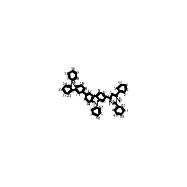 c1ccc(-c2cc(-c3ccc4c5cc(-c6ccc7c(c6)c6ccccc6n7-c6ccccc6)ccc5n(-c5ccccc5)c4c3)nc(-c3ccccc3)n2)cc1